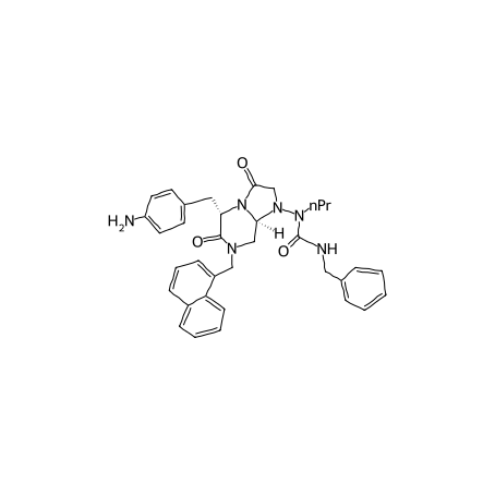 CCCN(C(=O)NCc1ccccc1)N1CC(=O)N2[C@@H](Cc3ccc(N)cc3)C(=O)N(Cc3cccc4ccccc34)C[C@@H]21